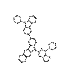 c1ccc(-c2nc(-n3c4ccc(-c5ccc6c(c5)c5ccccc5n6-c5ccccc5)cc4c4cc5ccccc5cc43)nc3ccsc23)cc1